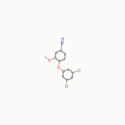 COc1cc(C#N)ccc1Oc1cc(Cl)cc(Cl)c1